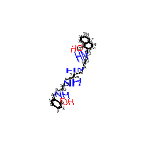 Oc1ccccc1CNCCCNCCCCNCCCNCc1ccc2ccccc2c1O